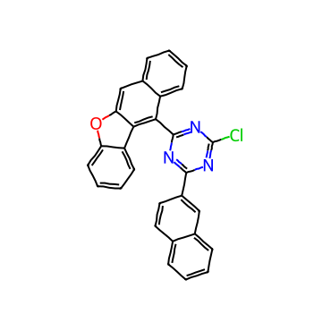 Clc1nc(-c2ccc3ccccc3c2)nc(-c2c3ccccc3cc3oc4ccccc4c23)n1